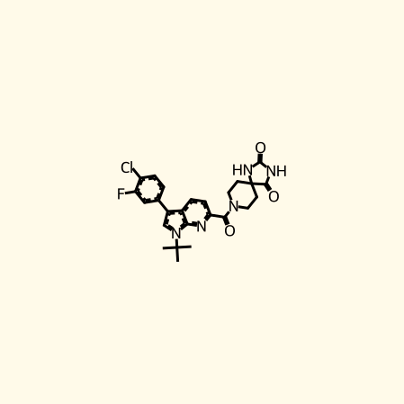 CC(C)(C)n1cc(-c2ccc(Cl)c(F)c2)c2ccc(C(=O)N3CCC4(CC3)NC(=O)NC4=O)nc21